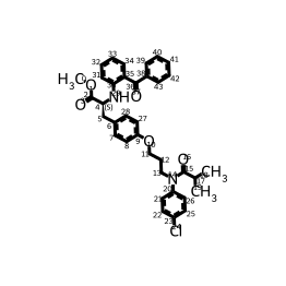 COC(=O)[C@H](Cc1ccc(OCCCN(C(=O)C(C)C)c2ccc(Cl)cc2)cc1)Nc1ccccc1C(=O)c1ccccc1